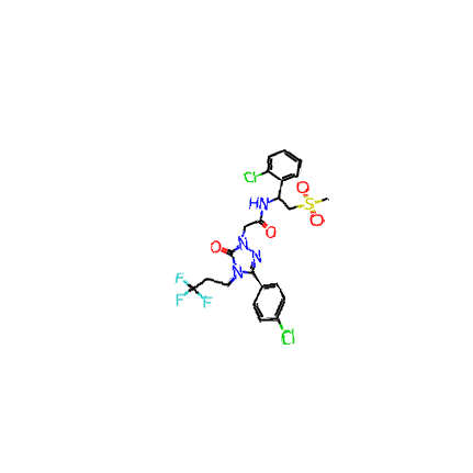 CS(=O)(=O)CC(NC(=O)Cn1nc(-c2ccc(Cl)cc2)n(CCC(F)(F)F)c1=O)c1ccccc1Cl